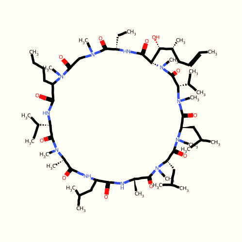 C/C=C/C[C@@H](C)[C@@H](O)[C@H]1C(=O)N[C@@H](CC)C(=O)N(C)CC(=O)N(C)C(CCCC)C(=O)N[C@@H](C(C)C)C(=O)N(C)[C@@H](C)C(=O)NC(CC(C)C)C(=O)N[C@H](C)C(=O)N(C)[C@@H](CC(C)C)C(=O)N(C)[C@H](CC(C)C)C(=O)N(C)[C@@H](C(C)C)C(=O)N1C